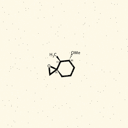 CO[C@@H]1CCC[C@]2(CO2)[C@H]1C